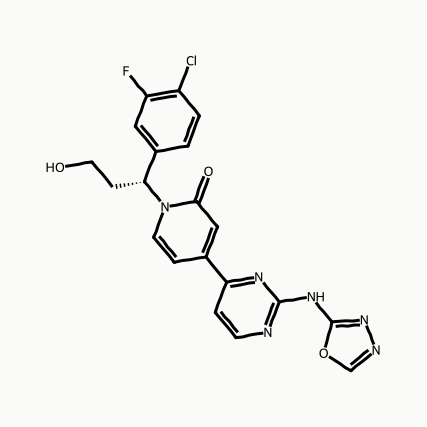 O=c1cc(-c2ccnc(Nc3nnco3)n2)ccn1[C@H](CCO)c1ccc(Cl)c(F)c1